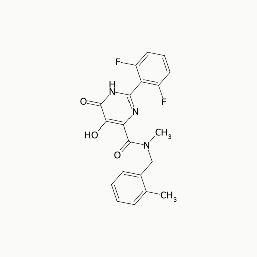 Cc1ccccc1CN(C)C(=O)c1nc(-c2c(F)cccc2F)[nH]c(=O)c1O